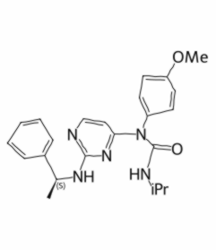 COc1ccc(N(C(=O)NC(C)C)c2ccnc(N[C@@H](C)c3ccccc3)n2)cc1